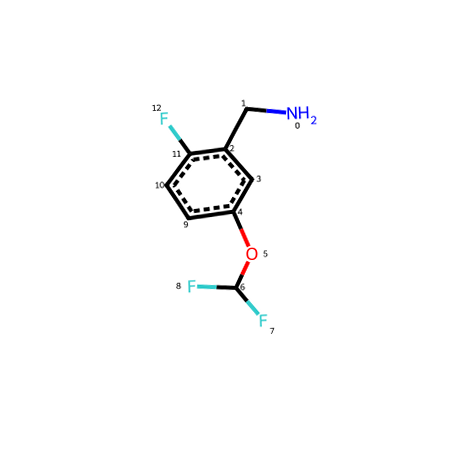 NCc1cc(OC(F)F)ccc1F